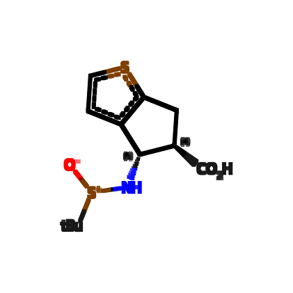 CC(C)(C)[S+]([O-])N[C@@H]1c2ccsc2C[C@H]1C(=O)O